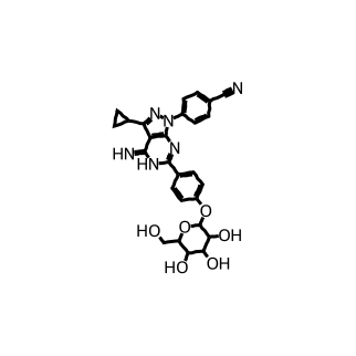 N#Cc1ccc(-n2nc(C3CC3)c3c(=N)[nH]c(-c4ccc(OC5OC(CO)C(O)C(O)C5O)cc4)nc32)cc1